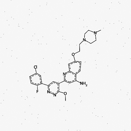 COc1nnc(-c2cc(Cl)ccc2F)cc1-c1cc(N)c2ccc(OCCN3CCN(C)CC3)cc2n1